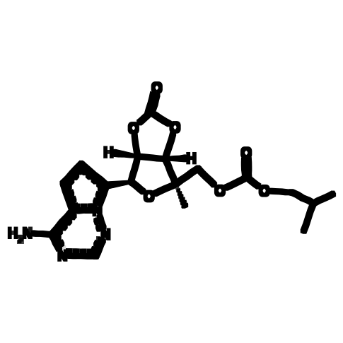 CC(C)COC(=O)OC[C@@]1(C)O[C@@H](c2ccc3c(N)ncnn23)[C@@H]2OC(=O)O[C@@H]21